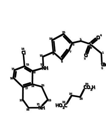 CC(C)(C)CS(=O)(=O)Cc1ccc(CNc2c(Cl)ccc3c2CCNCC3)cc1.O=C(O)CCC(=O)O